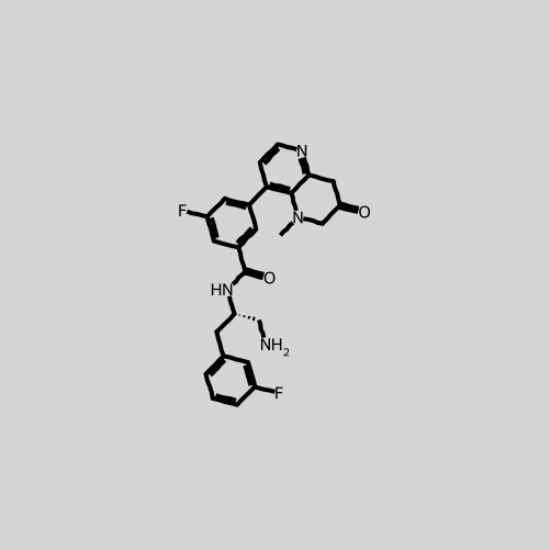 CN1CC(=O)Cc2nccc(-c3cc(F)cc(C(=O)N[C@H](CN)Cc4cccc(F)c4)c3)c21